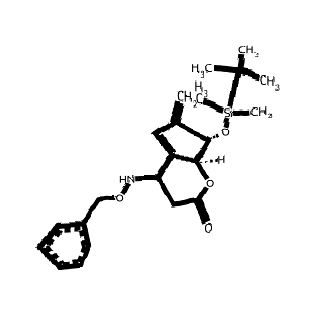 C=C1C=C2C(NOCc3ccccc3)CC(=O)O[C@@H]2[C@H]1O[Si](C)(C)C(C)(C)C